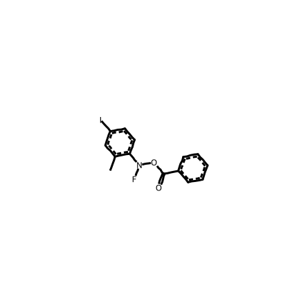 Cc1cc(I)ccc1N(F)OC(=O)c1ccccc1